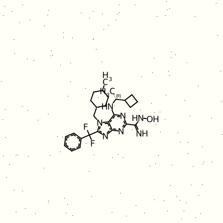 CC1CCC(Cn2c(C(F)(F)c3ccccc3)nc3nc(C(=N)NO)nc(N[C@H](C)C4CCC4)c32)CC1